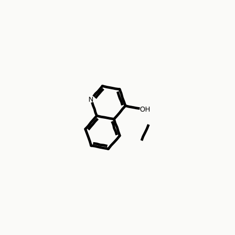 CC.Oc1ccnc2ccccc12